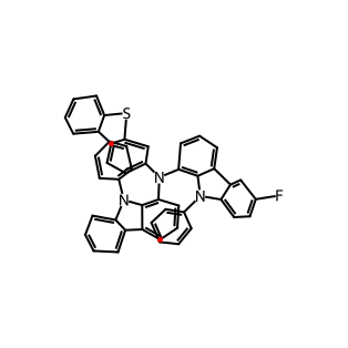 Fc1ccc2c(c1)c1cccc(N(c3ccc4c(c3)sc3ccccc34)c3cccc4c5ccccc5n(-c5ccccc5)c34)c1n2-c1ccccc1